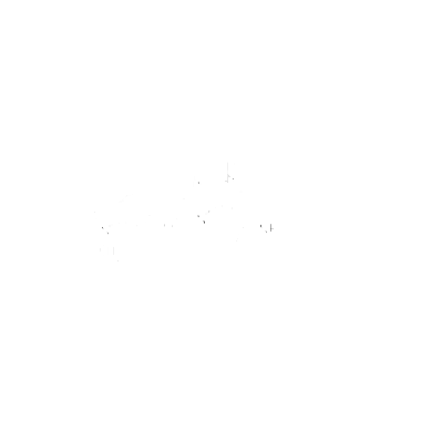 CCCNC(=O)c1c[nH]c2ncc(Oc3ccc4ccn(C)c4c3)nc12